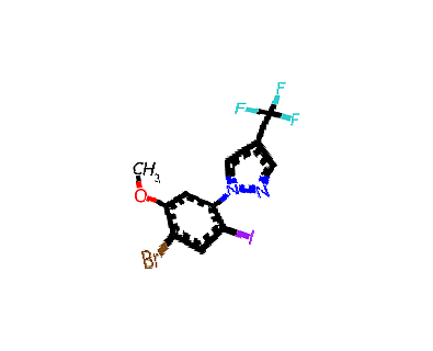 COc1cc(-n2cc(C(F)(F)F)cn2)c(I)cc1Br